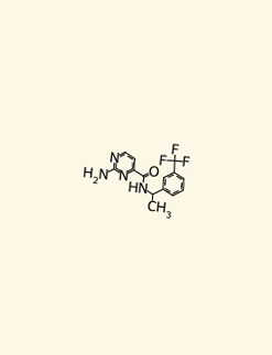 CC(NC(=O)c1ccnc(N)n1)c1cccc(C(F)(F)F)c1